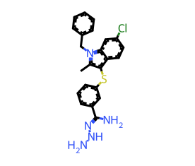 Cc1c(Sc2cccc(/C(N)=N/NN)c2)c2ccc(Cl)cc2n1Cc1ccccc1